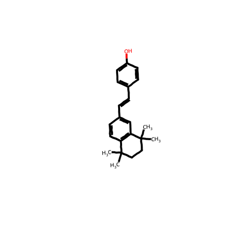 CC1(C)CCC(C)(C)c2cc(C=Cc3ccc(O)cc3)ccc21